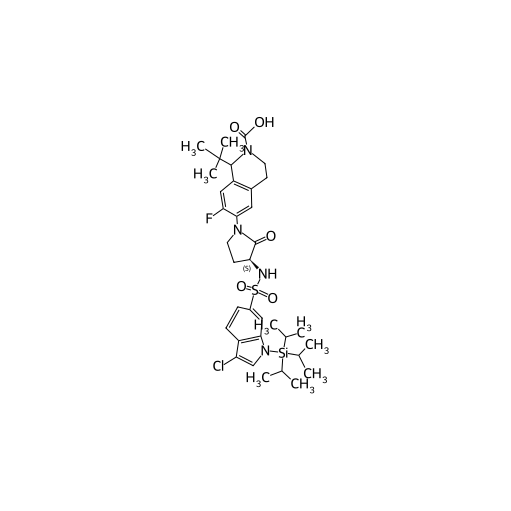 CC(C)[Si](C(C)C)(C(C)C)n1cc(Cl)c2ccc(S(=O)(=O)N[C@H]3CCN(c4cc5c(cc4F)C(C(C)(C)C)N(C(=O)O)CC5)C3=O)cc21